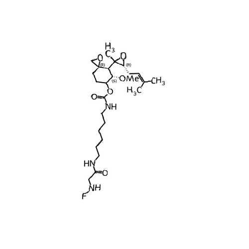 CO[C@@H]1C(OC(=O)NCCCCCCNC(=O)CNF)CC[C@]2(CO2)C1C1(C)O[C@@H]1CC=C(C)C